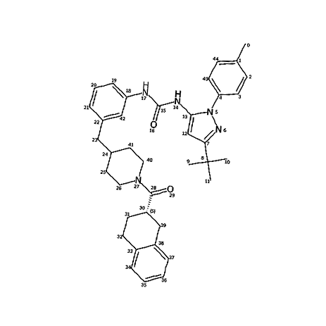 Cc1ccc(-n2nc(C(C)(C)C)cc2NC(=O)Nc2cccc(CC3CCN(C(=O)[C@H]4CCc5ccccc5C4)CC3)c2)cc1